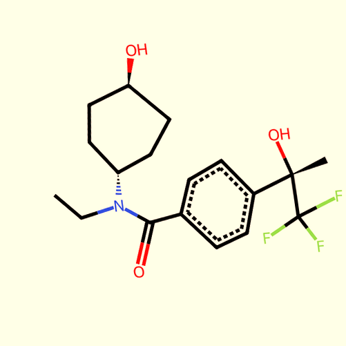 CCN(C(=O)c1ccc([C@](C)(O)C(F)(F)F)cc1)[C@H]1CC[C@H](O)CC1